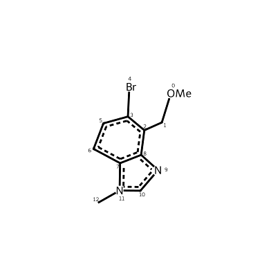 COCc1c(Br)ccc2c1ncn2C